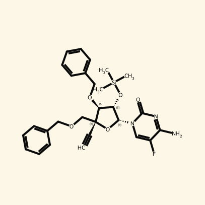 C#C[C@]1(COCc2ccccc2)O[C@@H](n2cc(F)c(N)nc2=O)[C@@H](O[Si](C)(C)C)[C@@H]1OCc1ccccc1